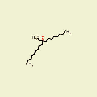 CCCCCCCCCC([O])(CC)CCCCCCCC